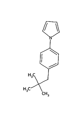 CC(C)(C)Cc1ccc(-n2cccc2)cc1